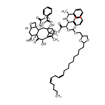 CCCC/C=C\C/C=C\CCCCCCCCC1OCC(COC(=O)O[C@@H](C(=O)O[C@H]2C[C@@]3(O)[C@@H](OC(=O)c4ccccc4)[C@@H]4[C@]5(OC(C)=O)CO[C@@H]5C[C@H](O)[C@@]4(C)C(=O)[C@H](O)C(=C2C)C3(C)C)[C@@H](N[C@@H](C)c2ccccc2)c2ccccc2)O1